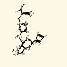 CN(C)C(=O)Cn1cc(Nc2nc(C3=CC=C3)nc3cn[nH]c23)cn1